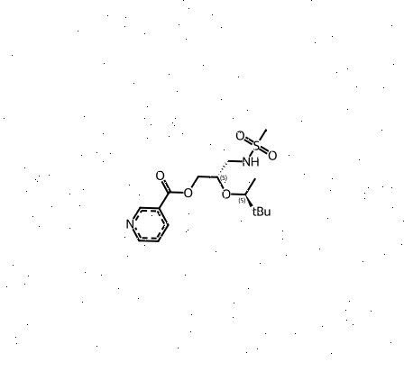 C[C@H](O[C@@H](CNS(C)(=O)=O)COC(=O)c1cccnc1)C(C)(C)C